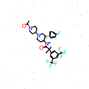 CC(=O)N1CCC(N2CC[C@H](N(C)C(=O)C(C)(C)c3cc(C(F)(F)F)cc(C(F)(F)F)c3)[C@@H](c3ccc(F)cc3)C2)CC1